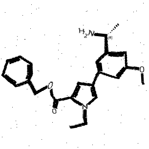 CCn1cc(-c2cc(OC)cc([C@@H](C)N)c2)cc1C(=O)OCc1ccccc1